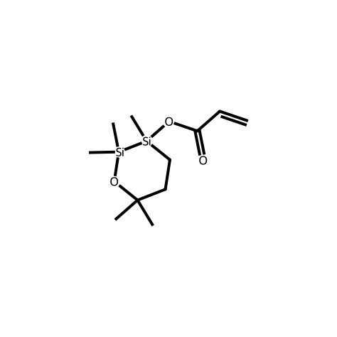 C=CC(=O)O[Si]1(C)CCC(C)(C)O[Si]1(C)C